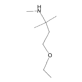 CCOCCC(C)(C)NC